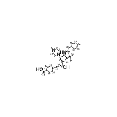 CN1CCN(c2cc(C(O)C#Cc3ccc(C(=O)O)cc3)cc(C(C)(C)C)c2NCCc2ccccc2)CC1